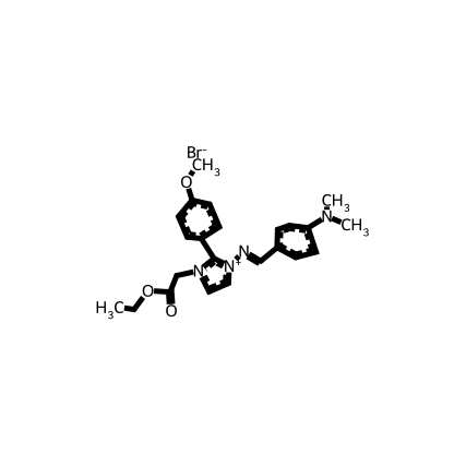 CCOC(=O)Cn1cc[n+](/N=C/c2ccc(N(C)C)cc2)c1-c1ccc(OC)cc1.[Br-]